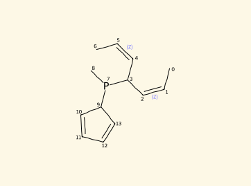 C/C=C\C(/C=C\C)P(C)C1C=CC=C1